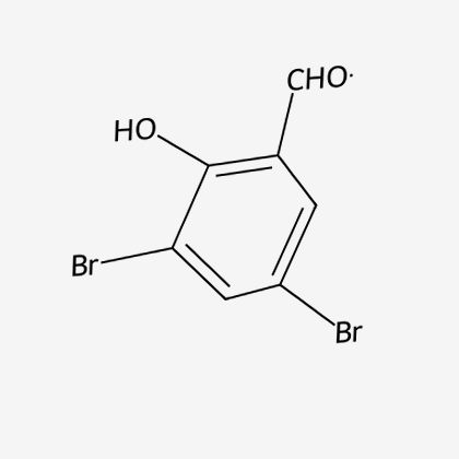 O=[C]c1cc(Br)cc(Br)c1O